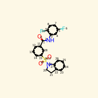 O=C(Nc1cc(F)ccc1F)c1cccc(S(=O)(=O)N2CCc3ccccc32)c1